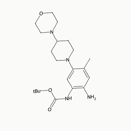 Cc1cc(N)c(NC(=O)OC(C)(C)C)cc1N1CCC(N2CCOCC2)CC1